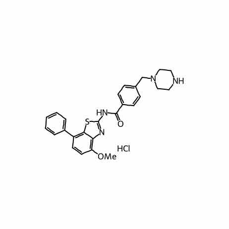 COc1ccc(-c2ccccc2)c2sc(NC(=O)c3ccc(CN4CCNCC4)cc3)nc12.Cl